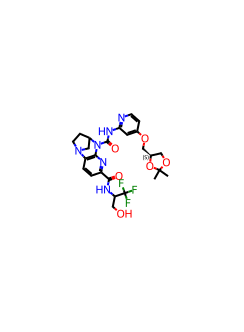 CC1(C)OC[C@H](COc2ccnc(NC(=O)N3c4nc(C(=O)NC(CO)C(F)(F)F)ccc4N4CCC3C4)c2)O1